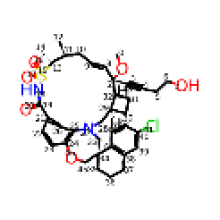 CO[C@@]1(C#CCCO)/C=C/C[C@H](C)[C@@H](C)S(=O)(=O)NC(=O)c2ccc3c(c2)N(C[C@@H]2CC[C@H]21)C[C@@]1(CCCc2cc(Cl)ccc21)CO3